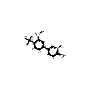 COc1cc(-c2ccc(=O)n(C)c2)ccc1C(C)(C)C